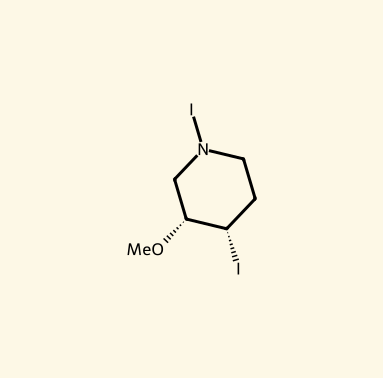 CO[C@@H]1CN(I)CC[C@@H]1I